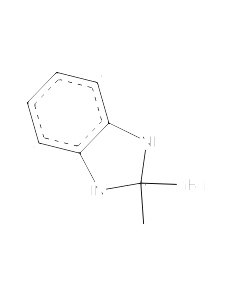 CCCCC1(C)Nc2ccccc2N1